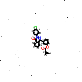 O=C(Oc1cccc(-c2nn(-c3ccc(Cl)cc3)c(=O)c3ccccc23)c1)C1CC1